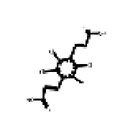 O=C(O)C=Cc1c(Cl)c(Cl)c(C=CC(=O)O)c(Cl)c1Cl